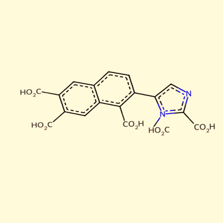 O=C(O)c1cc2ccc(-c3cnc(C(=O)O)n3C(=O)O)c(C(=O)O)c2cc1C(=O)O